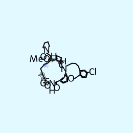 CO[C@@]1(CC(=O)N2CCCC2)/C=C/C[C@H](C)[C@@H](C)S(=O)(=O)NC(=O)c2ccc3c(c2)N(CCCCc2cc(Cl)ccc2CO3)C[C@@H]2CC[C@H]21